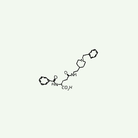 O=C(CCC(NC(=O)c1ccccc1)C(=O)O)NCCC1CCN(Cc2ccccc2)CC1